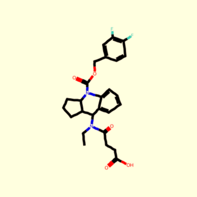 CCN(C(=O)CCC(=O)O)C1c2ccccc2N(C(=O)OCc2ccc(F)c(F)c2)C2CCCC12